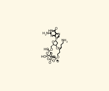 NCCCCCCOP(=O)(O)OP(=O)(O)OP(=O)(O)OP(=O)(O)OC[C@H]1O[C@@H](n2cnc3c(=O)[nH]c(N)nc32)CC1O